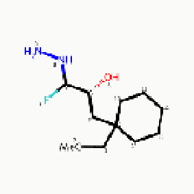 COCC1(C[C@@H](O)C(F)NN)CCCCC1